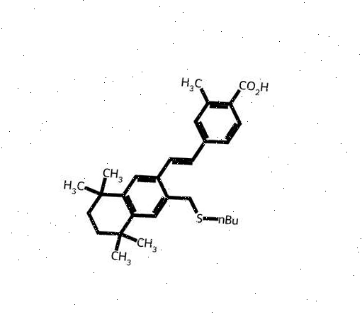 CCCCSCc1cc2c(cc1/C=C/c1ccc(C(=O)O)c(C)c1)C(C)(C)CCC2(C)C